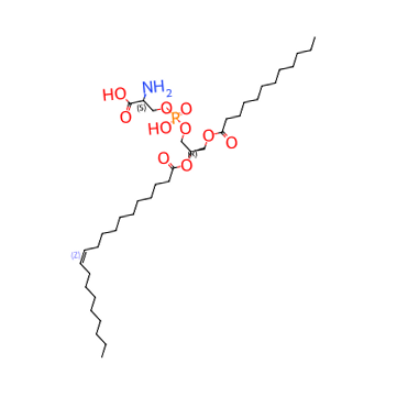 CCCCCCCC/C=C\CCCCCCCCCC(=O)O[C@H](COC(=O)CCCCCCCCCCC)COP(=O)(O)OC[C@H](N)C(=O)O